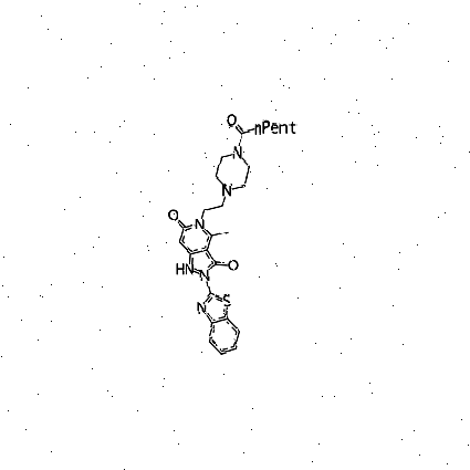 CCCCCC(=O)N1CCN(CCn2c(C)c3c(=O)n(-c4nc5ccccc5s4)[nH]c3cc2=O)CC1